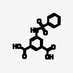 O=C(O)c1cc(NS(=O)(=O)c2ccccc2)cc(C(=O)O)c1